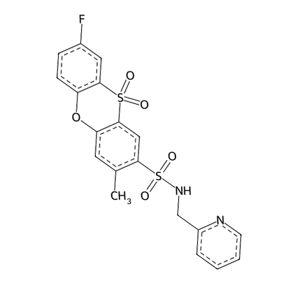 Cc1cc2c(cc1S(=O)(=O)NCc1ccccn1)S(=O)(=O)c1cc(F)ccc1O2